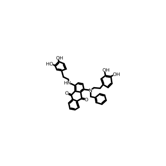 O=C1c2ccccc2C(=O)c2c(N(CCc3ccc(O)c(O)c3)Cc3ccccc3)ccc(NCCc3ccc(O)c(O)c3)c21